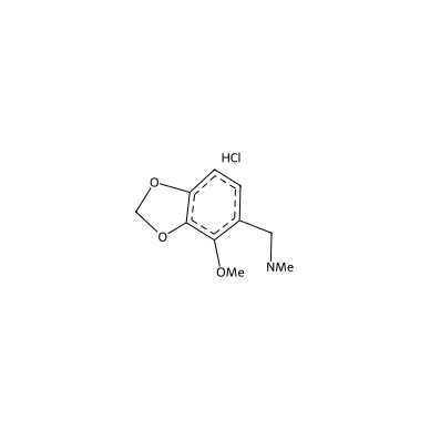 CNCc1ccc2c(c1OC)OCO2.Cl